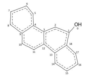 Oc1cc2c3ccccc3ccc2c2ccccc12